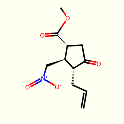 C=CC[C@H]1C(=O)C[C@@H](C(=O)OC)[C@@H]1C[N+](=O)[O-]